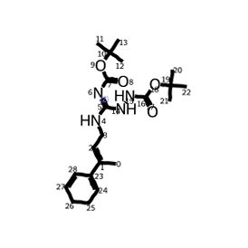 CC(=CCN/C(=N/C(=O)OC(C)(C)C)NNC(=O)OC(C)(C)C)C1=CCCC=C1